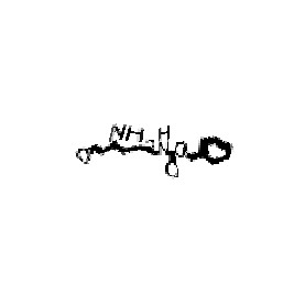 N[C@H](CC=O)CCCNC(=O)OCc1ccccc1